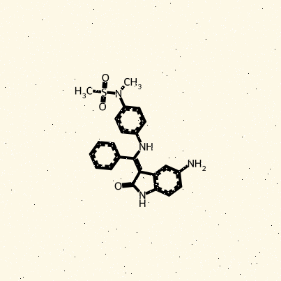 CN(c1ccc(NC(=C2C(=O)Nc3ccc(N)cc32)c2ccccc2)cc1)S(C)(=O)=O